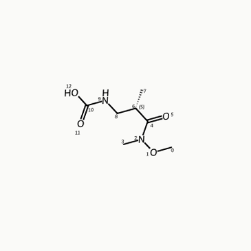 CON(C)C(=O)[C@@H](C)CNC(=O)O